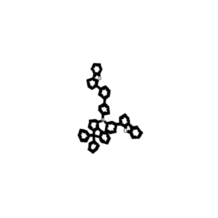 c1ccc(C2(c3ccccc3)c3ccccc3-c3c(N(c4ccc(-c5cccc(-c6cccc7c6oc6ccccc67)c5)cc4)c4cccc(-c5cccc6c5oc5ccccc56)c4)cccc32)cc1